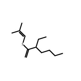 C=C(SC=C(C)C)C(CC)CCCC